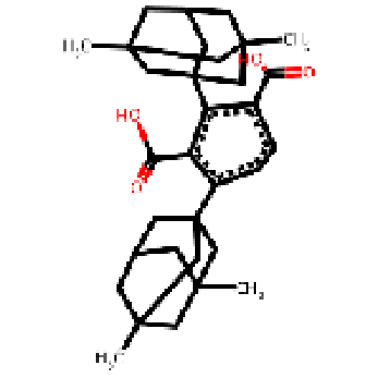 CC12CC3CC(C)(C1)CC(c1ccc(C(=O)O)c(C45CC6CC(C)(CC(C)(C6)C4)C5)c1C(=O)O)(C3)C2